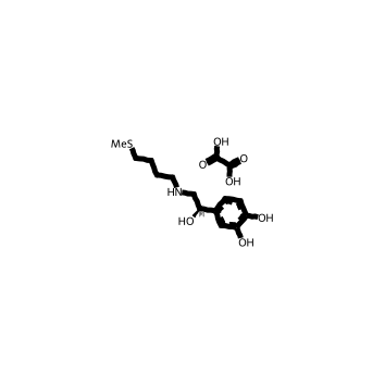 CSCCCCNC[C@H](O)c1ccc(O)c(O)c1.O=C(O)C(=O)O